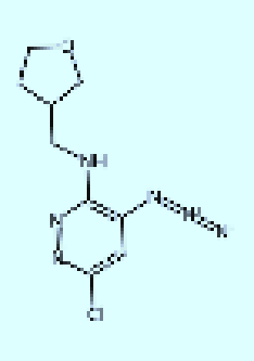 [N-]=[N+]=Nc1cc(Cl)nnc1NCC1CCOC1